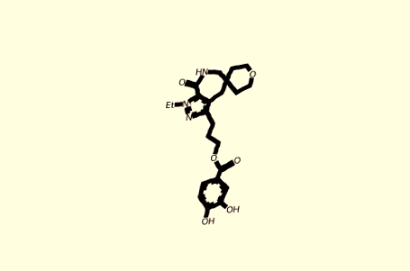 CCn1nc(CCCOC(=O)c2ccc(O)c(O)c2)c2c1C(=O)NCC1(CCOCC1)C2